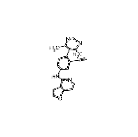 Cc1ncnc(C)c1-c1ccc(Nc2nccc3occc23)cc1C#N